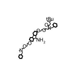 CC(CC(=O)N(CCOCCOc1ccc2c(c1)C(N)c1cc(OCCOCCN(C)Cc3ccccc3)ccc1-2)Cc1ccccc1)CC(C)(C)C